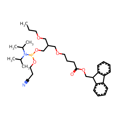 CCCOCC(COCCCC(=O)OCC1c2ccccc2-c2ccccc21)COP(OCCC#N)N(C(C)C)C(C)C